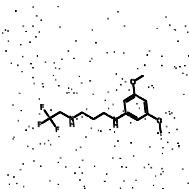 COc1cc(NCCCNCC(F)(F)F)cc(OC)c1